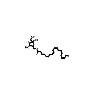 CC/C=C\C/C=C\C/C=C\C/C=C\C/C=C\CCCC(=O)OCC1OC(O)(CO)C(O)C1O